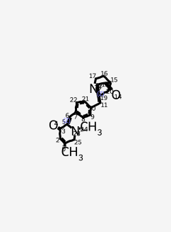 CC1=CC(=O)/C(=C/c2ccc(/C=C3/C(=O)C4CCN3CC4)cc2)N(C)C1